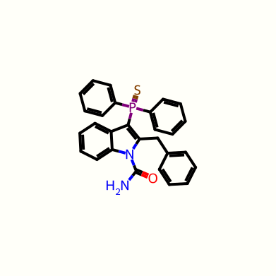 NC(=O)n1c(Cc2ccccc2)c(P(=S)(c2ccccc2)c2ccccc2)c2ccccc21